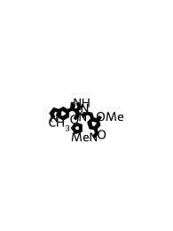 CNC(=O)c1ccc(Cc2nc(OC3CCCC3)c3c(-c4ccc5c(ccn5C)c4)c[nH]c3n2)c(OC)c1